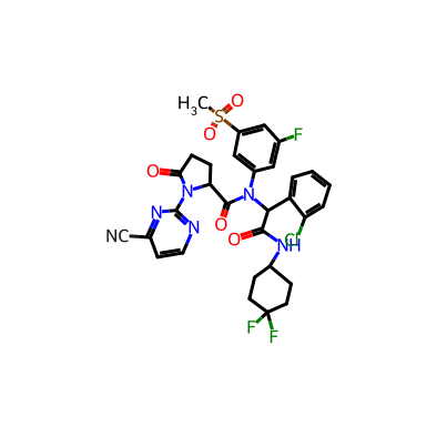 CS(=O)(=O)c1cc(F)cc(N(C(=O)C2CCC(=O)N2c2nccc(C#N)n2)C(C(=O)NC2CCC(F)(F)CC2)c2ccccc2Cl)c1